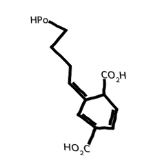 O=C(O)C1=CC(=CCC[CH2][PoH])C(C(=O)O)C=C1